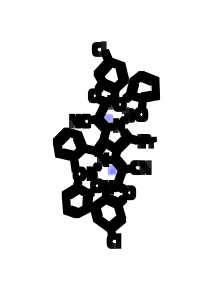 Cc1ccccc1-c1c2/c(=C(\C#N)c3nc4ccc(Cl)cc4o3)n(B3Oc4ccccc4O3)c(C(C)C)c2/c(=C(\C#N)c2nc3ccc(Cl)cc3o2)n1B1Oc2ccccc2O1